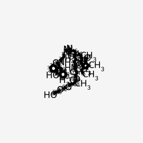 C/C=C\C1CC(C)C2C(=O)N(C(C)(C)CN(Cc3cn(CCCNC(=O)C4CC5(CCCCC5)N(O)C45CCCCC5)nn3)C(=O)CCC(=O)NC(C)(C)CCOC(C)(C)CCOCCOCCO)C(=O)C12